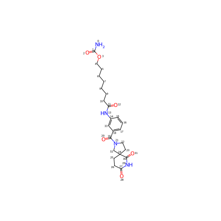 NC(=O)OCCCCCCCC(=O)Nc1cccc(C(=O)N2CCC3(CCC(=O)NC3=O)C2)c1